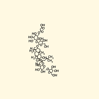 CC(C)=CCC[C@](C)(O[C@@H]1O[C@H](CO[C@H]2O[C@H](CO)[C@@H](O)[C@@H]2O)[C@@H](O)[C@H](O)[C@H]1O)C1CCC2(C)C1C(O)CC1[C@@]3(C)CCC(O[C@@H]4O[C@H](CO)[C@@H](O)[C@H](O)[C@H]4O[C@@H]4O[C@H](COC(=O)CC(=O)O)[C@@H](O)[C@H](O)[C@H]4O)C(C)(C)C3CC[C@]12C